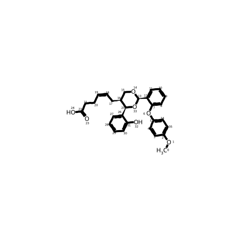 COc1ccc(Oc2ccccc2[C@@H]2OC[C@H](C/C=C\CCC(=O)O)[C@H](c3ccccc3O)O2)cc1